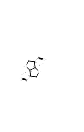 O=C[C@@H]1CO[C@H]2[C@@H]1OC[C@H]2C=O